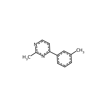 Cc1cccc(-c2ccnc(C)n2)c1